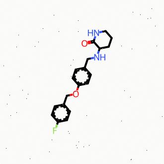 O=C1NCCCC1NCc1ccc(OCc2ccc(F)cc2)cc1